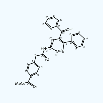 CNC(=O)c1ccc(CC(=O)Nc2ncc(-c3ccccc3)c(C(=O)c3ccccc3)n2)cc1